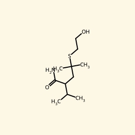 CC(C)C(CC(C)(C)SCCO)C(N)=O